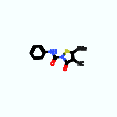 [C-]#[N+]c1c(SC)sn(C(=O)Nc2ccccc2)c1=O